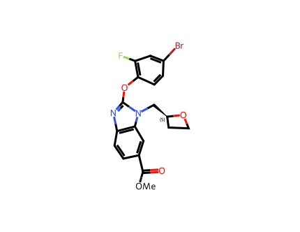 COC(=O)c1ccc2nc(Oc3ccc(Br)cc3F)n(C[C@@H]3CCO3)c2c1